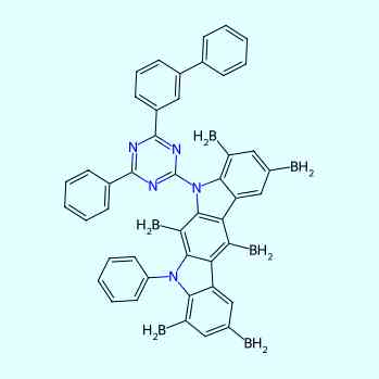 Bc1cc(B)c2c(c1)c1c(B)c3c4cc(B)cc(B)c4n(-c4nc(-c5ccccc5)nc(-c5cccc(-c6ccccc6)c5)n4)c3c(B)c1n2-c1ccccc1